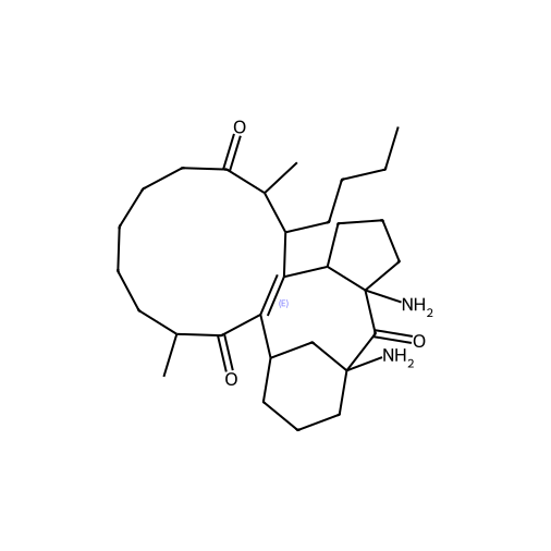 CCCCC1/C2=C(\C(=O)C(C)CCCCCC(=O)C1C)C1CCCC(N)(C1)C(=O)C1(N)CCCC21